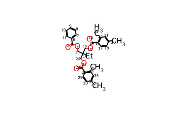 CCC(COC(=O)c1ccccc1)(COC(=O)c1ccc(C)cc1C)COC(=O)c1ccc(C)cc1C